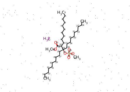 CCCCCCCCCCC(C(=O)OC)C(CCCCCCCCCC)(CCCCCCCCCC)OS(=O)(=O)OC.P